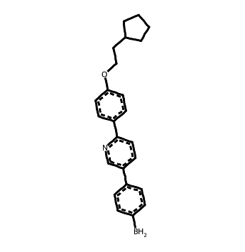 Bc1ccc(-c2ccc(-c3ccc(OCCC4CCCC4)cc3)nc2)cc1